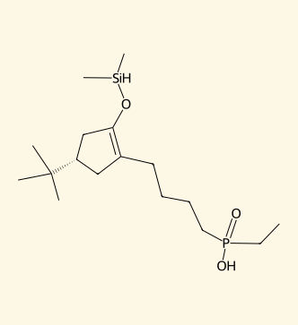 CCP(=O)(O)CCCCC1=C(O[SiH](C)C)C[C@@H](C(C)(C)C)C1